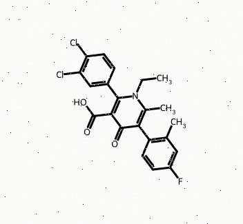 CCn1c(C)c(-c2ccc(F)cc2C)c(=O)c(C(=O)O)c1-c1ccc(Cl)c(Cl)c1